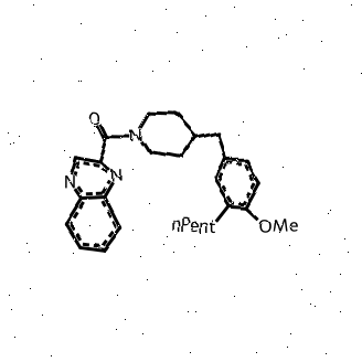 CCCCCc1cc(CC2CCN(C(=O)c3cnc4ccccc4n3)CC2)ccc1OC